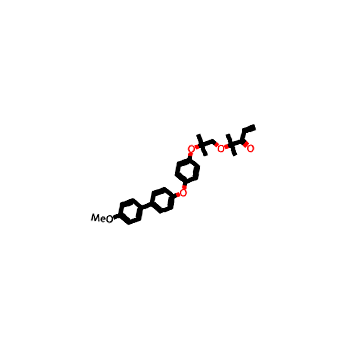 C=CC(=O)C(C)(C)OCC(C)(C)Oc1ccc(Oc2ccc(-c3ccc(OC)cc3)cc2)cc1